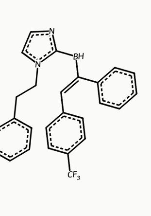 FC(F)(F)c1ccc(C=C(Bc2nccn2CCc2ccccc2)c2ccccc2)cc1